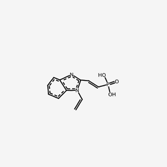 C=Cn1c(C=CP(=O)(O)O)nc2ccccc21